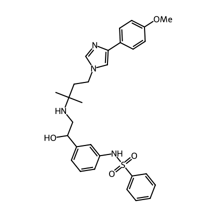 COc1ccc(-c2cn(CCC(C)(C)NCC(O)c3cccc(NS(=O)(=O)c4ccccc4)c3)cn2)cc1